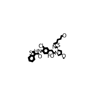 CO[C@H]1C[C@@H](c2ncc(CCC=O)s2)N(C(=O)Cc2cc(Cl)c(NC(=O)c3csc4ccccc34)cc2F)C1